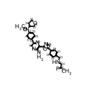 CON(c1ccc(-c2cnc(N)c(-c3nnc(-c4ccc(CNCC(C)F)cc4)o3)n2)cc1)C1CCOC1